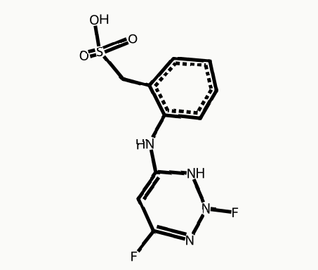 O=S(=O)(O)Cc1ccccc1NC1=CC(F)=NN(F)N1